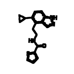 O=C(NCCc1c(C2CC2)ccc2[nH]ncc12)c1cccs1